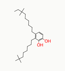 CCC(C)(C)CCCCCCc1ccc(O)c(O)c1CCCCCCC(C)(C)C